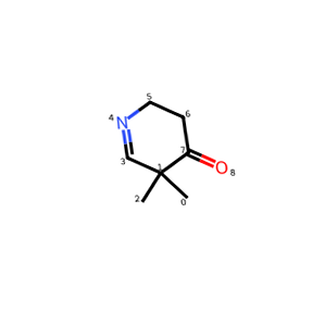 CC1(C)C=NCCC1=O